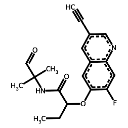 C#Cc1cnc2cc(F)c(OC(CC)C(=O)NC(C)(C)C=O)cc2c1